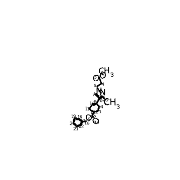 COC(=O)CCn1cc(C2=CCC(C(=O)OCc3ccccc3)CC2)c(C)n1